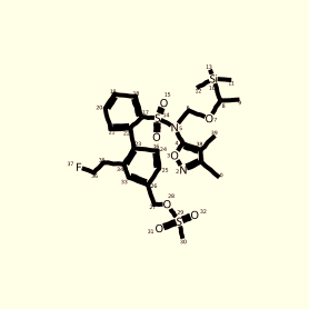 Cc1noc(N(COC(C)[Si](C)(C)C)S(=O)(=O)c2ccccc2-c2ccc(COS(C)(=O)=O)cc2CCF)c1C